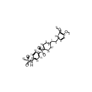 COc1ccc(CCN2CCC(S(=O)(=O)c3ccc(NS(C)(=O)=O)cc3)CC2)cc1OC